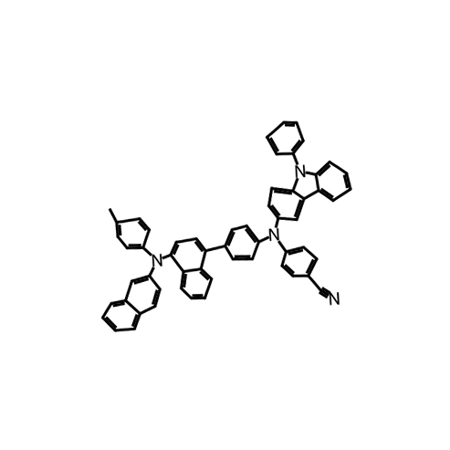 Cc1ccc(N(c2ccc3ccccc3c2)c2ccc(-c3ccc(N(c4ccc(C#N)cc4)c4ccc5c(c4)c4ccccc4n5-c4ccccc4)cc3)c3ccccc23)cc1